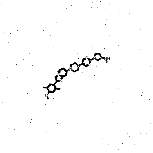 CNC1CCN(c2ncc(N3CCN(c4ccn5cc(-c6cc(C)c(OC)cc6C)nc5c4)CC3)cn2)C1